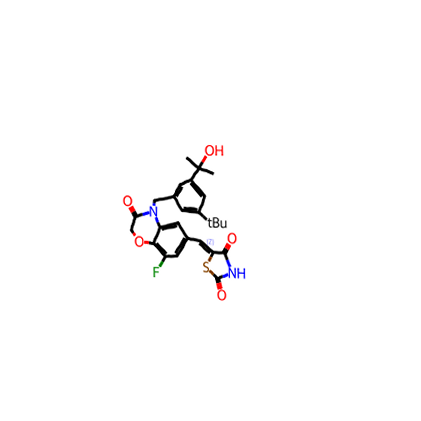 CC(C)(C)c1cc(CN2C(=O)COc3c(F)cc(/C=C4\SC(=O)NC4=O)cc32)cc(C(C)(C)O)c1